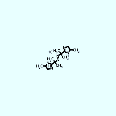 CC1CN=C(C(C)(C)N=NC(C)(C)C2=NCC(C)N2)N1.Cl